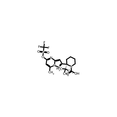 Cc1cc(OS(=O)(=O)C(F)(F)F)nc2cc([C@@]3(C(C)(C)C)CCCCN3C(=O)O)nn12